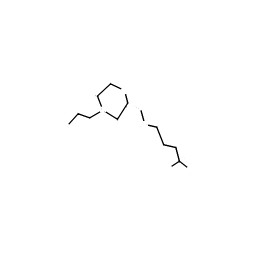 CCCN1CCO[C@H](COCCCC(C)C)C1